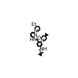 CCC1CCCN(c2cccc(NC(=O)c3ccc(NSC4(C)CC4)cc3N3CCC4(CC3)CC4)n2)C1